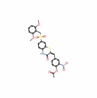 COc1cccc(OC)c1CS(=O)(=O)c1ccc2c(c1)S/C(=C/c1ccc(OC(C)=O)c([N+](=O)[O-])c1)C(=O)N2